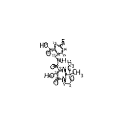 CC1(C)OCCn2c1nc(C(=O)NCc1ccc(F)cc1C(=O)O)c(O)c2=O